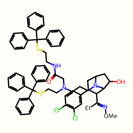 CCC(=NOC)C1C(c2ccc(Cl)c(Cl)c2)CC2CC(O)C1N2CCCN(CCSC(c1ccccc1)(c1ccccc1)c1ccccc1)CC(=O)NCCSC(c1ccccc1)(c1ccccc1)c1ccccc1